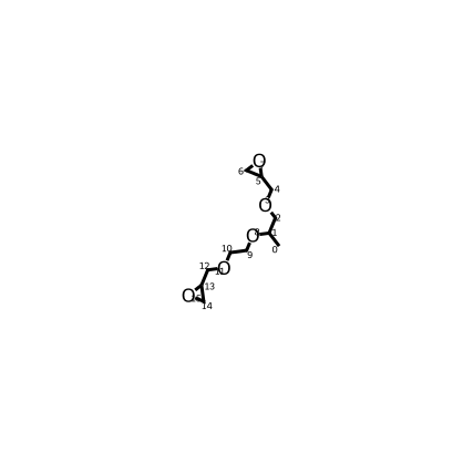 CC(COCC1CO1)OCCOCC1CO1